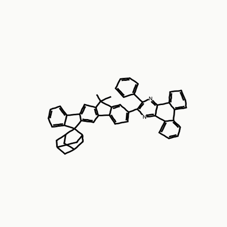 CC1(C)c2cc(-c3nc4c5ccccc5c5ccccc5c4nc3-c3ccccc3)ccc2-c2cc3c(cc21)-c1ccccc1C31C2CC3CC(C2)CC1C3